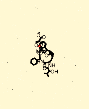 COC(=O)c1coc(-c2nc3oc2[C@@]24c5ccccc5NC2Oc2ccc(cc24)C[C@H](NC(=O)[C@@H](O)C(C)C)C(=O)NC3C2CCCCC2)n1